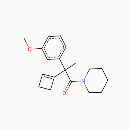 COc1cccc(C(C)(C(=O)N2CCCCC2)C2=CCC2)c1